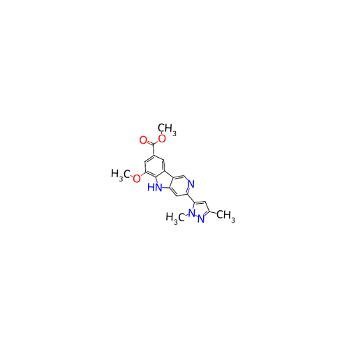 COC(=O)c1cc(OC)c2[nH]c3cc(-c4cc(C)nn4C)ncc3c2c1